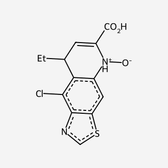 CCC1C=C(C(=O)O)[NH+]([O-])c2cc3scnc3c(Cl)c21